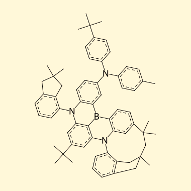 Cc1ccc(N(c2ccc(C(C)(C)C)cc2)c2ccc3c(c2)B2c4ccc5cc4N(c4cccc6c4CC(C)(C6)CC5(C)C)c4cc(C(C)(C)C)cc(c42)N3c2cccc3c2CC(C)(C)C3)cc1